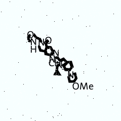 COC1CCN(c2ccc3cc(-c4nc5cc6c(cc5n4C)CCN(CC4COCCN4)C6=O)n(CC4CC4)c3c2)CC1